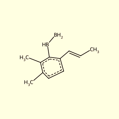 BBc1c(/C=C/C)ccc(C)c1C